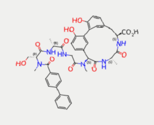 C[C@@H]1NC(=O)[C@@H](N(C)C(=O)CNC(=O)[C@@H](C)NC(=O)[C@@H](CO)N(C)C(=O)c2ccc(-c3ccccc3)cc2)c2ccc(O)c(c2)-c2cc(ccc2O)C[C@@H](C(=O)O)NC1=O